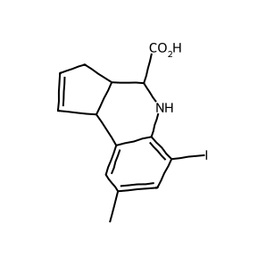 Cc1cc(I)c2c(c1)C1C=CCC1C(C(=O)O)N2